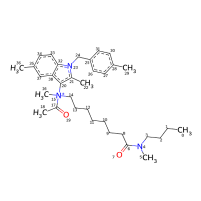 CCCCN(C)C(=O)CCCCCCC[N+](C)(C(C)=O)c1c(C)n(Cc2ccc(C)cc2)c2ccc(C)cc12